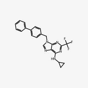 FC(F)(F)c1nc(NC2CC2)c2ncn(Cc3ccc(-c4ccccc4)cc3)c2n1